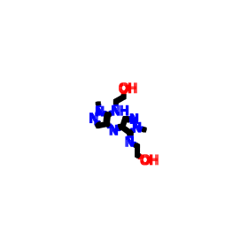 CN1N=CC(=Nc2cnn(C)c2NCCO)C1=NCCO